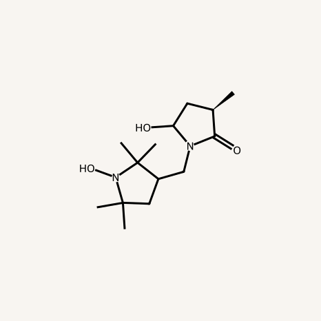 C[C@@H]1CC(O)N(CC2CC(C)(C)N(O)C2(C)C)C1=O